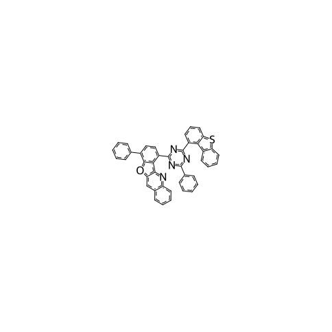 c1ccc(-c2nc(-c3cccc4sc5ccccc5c34)nc(-c3ccc(-c4ccccc4)c4oc5cc6ccccc6nc5c34)n2)cc1